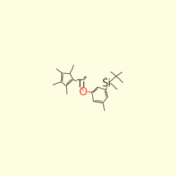 [CH2]=[Ti]([O]c1cc(C)cc([Si](C)(C)C(C)(C)C)c1)[C]1=C(C)C(C)=C(C)C1C